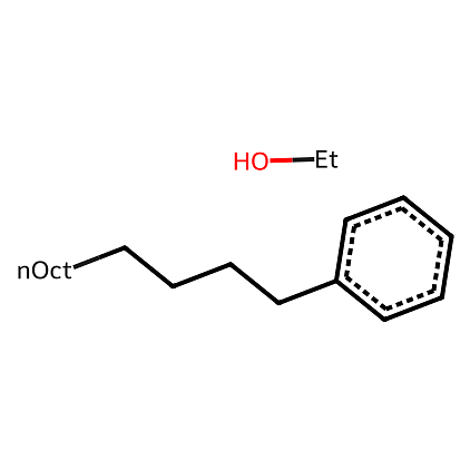 CCCCCCCCCCCCc1ccccc1.CCO